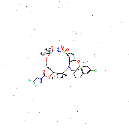 CC1(C)OC/C=C/[C@H](OC(=O)NCC(F)F)[C@@H]2CC[C@H]2CN2C[C@@]3(CCCc4cc(Cl)ccc43)COc3ccc(cc32)S(=O)(=O)NC1=O